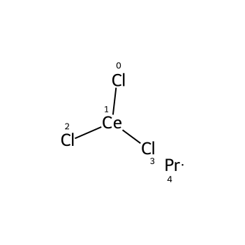 [Cl][Ce]([Cl])[Cl].[Pr]